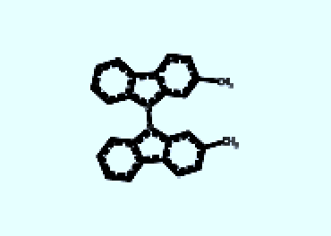 Cc1ccc2c3ccccc3n(-n3c4ccccc4c4ccc(C)cc43)c2c1